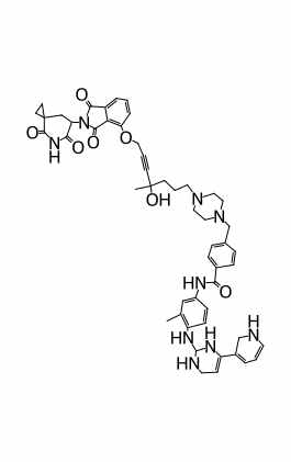 Cc1cc(NC(=O)c2ccc(CN3CCN(CCCC(C)(O)C#CCOc4cccc5c4C(=O)N(C4CC6(CC6)C(=O)NC4=O)C5=O)CC3)cc2)ccc1NC1NCC=C(C2=CC=CNC2)N1